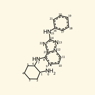 NC1CCCCC1Nc1nccn2nc(Nc3ccccc3)nc12